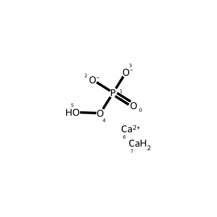 O=P([O-])([O-])OO.[Ca+2].[CaH2]